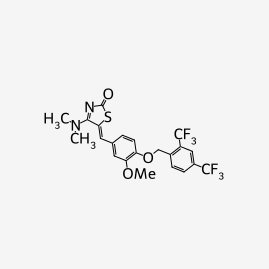 COc1cc(C=C2SC(=O)N=C2N(C)C)ccc1OCc1ccc(C(F)(F)F)cc1C(F)(F)F